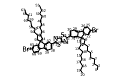 CCCCCCCCCCC1(CCCCCCCCCC)c2cc(Br)ccc2-c2ccc(-c3nc4sc(-c5ccc6c(c5)C(CCCCCCCCCC)(CCCCCCCCCC)c5cc(Br)ccc5-6)nc4s3)cc21